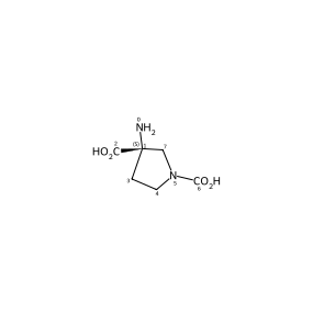 N[C@@]1(C(=O)O)CCN(C(=O)O)C1